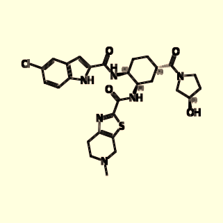 CN1CCc2nc(C(=O)N[C@@H]3C[C@@H](C(=O)N4CC[C@@H](O)C4)CC[C@@H]3NC(=O)c3cc4cc(Cl)ccc4[nH]3)sc2C1